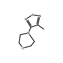 Ic1nsnc1N1CCOCC1